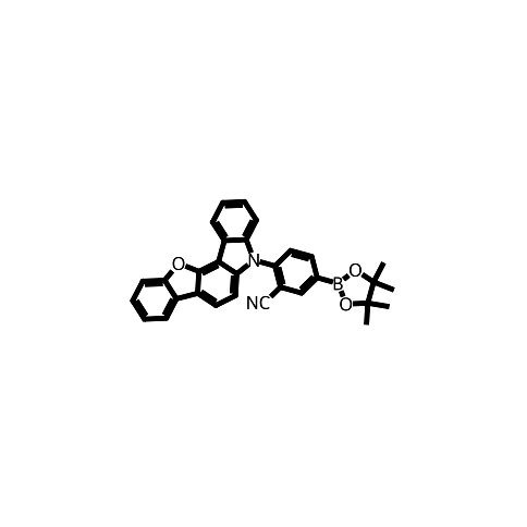 CC1(C)OB(c2ccc(-n3c4ccccc4c4c5oc6ccccc6c5ccc43)c(C#N)c2)OC1(C)C